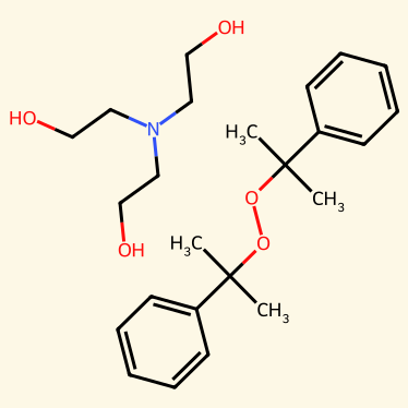 CC(C)(OOC(C)(C)c1ccccc1)c1ccccc1.OCCN(CCO)CCO